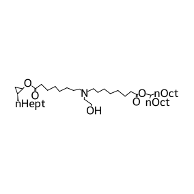 CCCCCCCCC(CCCCCCCC)OC(=O)CCCCCCCN(CCO)CCCCCCCC(=O)OC1C[C@@H]1CCCCCCC